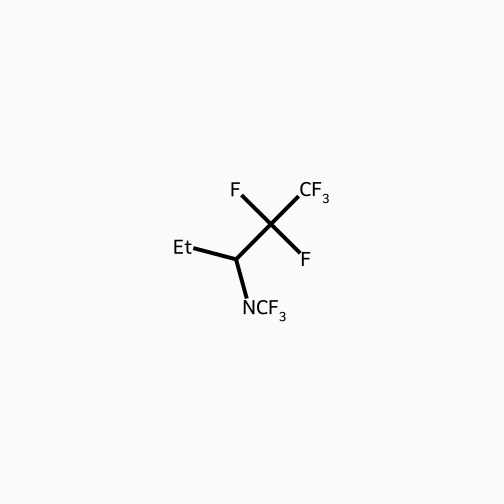 CCC(NC(F)(F)F)C(F)(F)C(F)(F)F